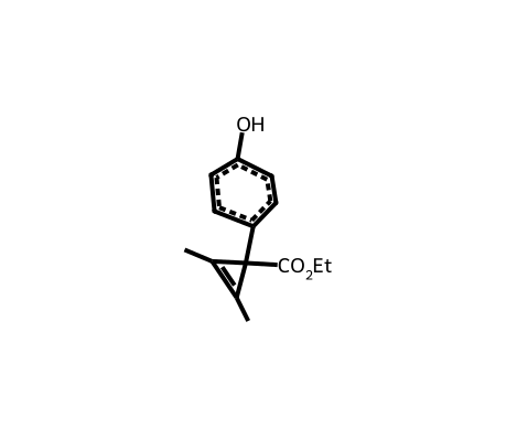 CCOC(=O)C1(c2ccc(O)cc2)C(C)=C1C